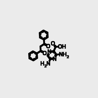 Nc1cnc(C(=O)O)c(N)n1.O=C(CC(=O)c1ccccc1)c1ccccc1